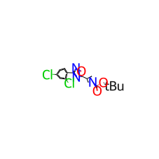 CC(C)(C)OC(=O)N1CC(c2nc(-c3ccc(Cl)cc3Cl)no2)C1